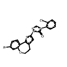 O=c1n(-c2ccccc2Cl)cnn1-c1cc2c(s1)-c1ccc(Br)cc1OCC2